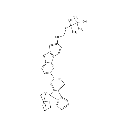 CC(C)(O)C(C)(C)OCBc1ccc2c(c1)oc1ccc(-c3ccc4c(c3)C3(c5ccccc5-4)C4CC5CC(C4)C3C5)cc12